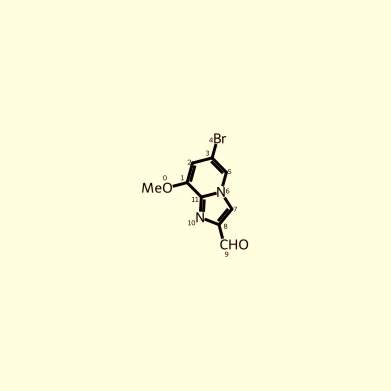 COc1cc(Br)cn2cc(C=O)nc12